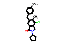 COc1ccc(Cc2cc3c(c(Cl)c2C)CN(C2CCCC2)C3=O)cc1